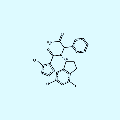 Cc1ncsc1C(=O)N(C(C(N)=O)c1ccccc1)[C@@H]1CCc2c(F)cc(Cl)cc21